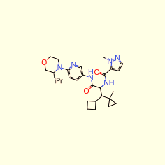 CC(C)[C@H]1COCCN1c1ccc(NC(=O)[C@@H](NC(=O)c2ccnn2C)C(C2CCC2)C2(C)CC2)cn1